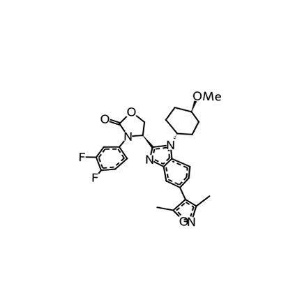 CO[C@H]1CC[C@H](n2c([C@@H]3COC(=O)N3c3ccc(F)c(F)c3)nc3cc(-c4c(C)noc4C)ccc32)CC1